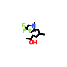 C=C(CCC(C)O)C[C@@H](C)N(C)CC(F)(F)F